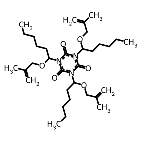 C=C(C)COC(CCCCC)n1c(=O)n(C(CCCCC)OCC(=C)C)c(=O)n(C(CCCCC)OCC(=C)C)c1=O